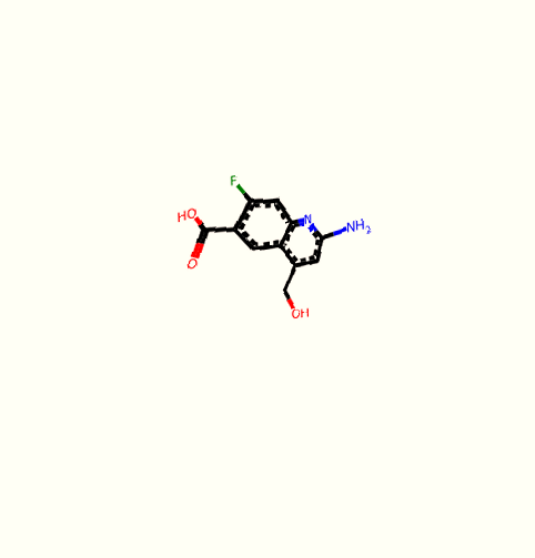 Nc1cc(CO)c2cc(C(=O)O)c(F)cc2n1